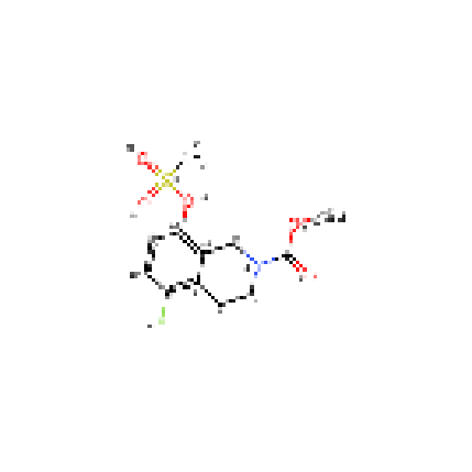 CC(C)(C)OC(=O)N1CCc2c(F)ccc(OS(=O)(=O)C(F)(F)F)c2C1